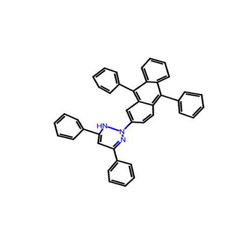 C1=C(c2ccccc2)NN(c2ccc3c(-c4ccccc4)c4ccccc4c(-c4ccccc4)c3c2)N=C1c1ccccc1